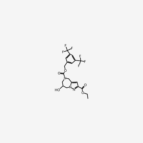 CCOC(=O)c1cc2n(n1)CC(O)CN(C(=O)OCc1cc(C(F)(F)F)cc(C(F)(F)F)c1)C2